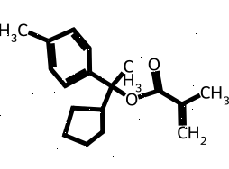 C=C(C)C(=O)OC(C)(c1ccc(C)cc1)C1CCCC1